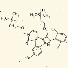 C[Si](C)(C)CCOCn1ccc2c(c1=O)c1cc(Br)ccc1c1nc(-c3c(F)cccc3Cl)n(COCC[Si](C)(C)C)c21